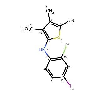 Cc1c(C#N)sc(Nc2ccc(I)cc2F)c1C(=O)O